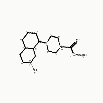 CC(C)(C)OC(=O)N1CCN(C2CCCC3CC[C@@H](N)CC32)CC1